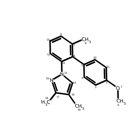 COc1ccc(-c2c(C)cccc2-n2cc(C)c(C)n2)cc1